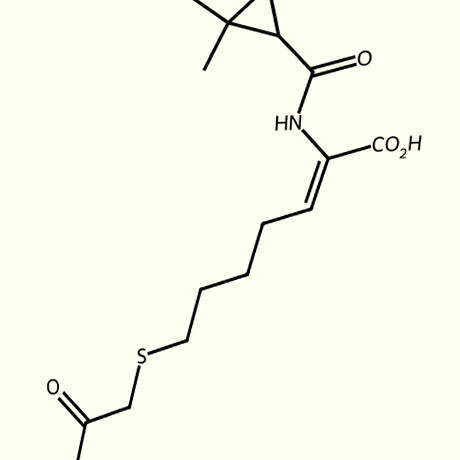 COC(=O)CSCCCC/C=C(\NC(=O)C1CC1(C)C)C(=O)O